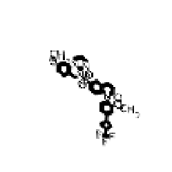 COc1ccc(CN(c2ncccn2)S(=O)(=O)c2ccc3c(ccc(=O)n3-c3ccc(C4CC(C(F)(F)F)C4)cc3OC)c2)cc1